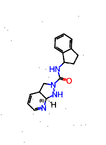 O=C(NC1CCc2ccccc21)N1CC2C=CC=N[C@@H]2N1